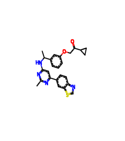 Cc1nc(NC(C)c2cccc(OCC(=O)C3CC3)c2)cc(-c2ccc3ncsc3c2)n1